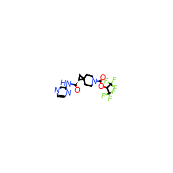 O=C(Nc1cnccn1)[C@@H]1CC12CCN(C(=O)OC(C(F)(F)F)C(F)(F)F)CC2